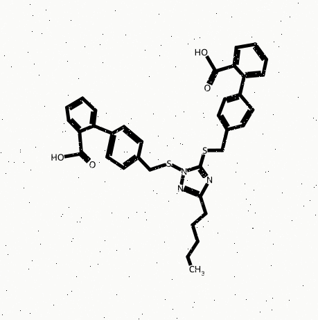 CCCCCc1nc(SCc2ccc(-c3ccccc3C(=O)O)cc2)n(SCc2ccc(-c3ccccc3C(=O)O)cc2)n1